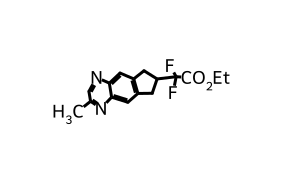 CCOC(=O)C(F)(F)C1Cc2cc3ncc(C)nc3cc2C1